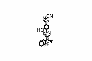 C[C@@]12CCC[C@@](C)(C1)[C@@H](F)[C@@H](N(c1cnc(-c3ccc(-c4cnc(C#N)s4)cc3O)nn1)C1CC1)C2